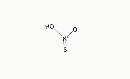 [O-][N+](O)=S